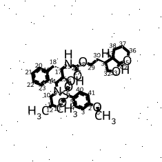 COc1ccc(S(=O)(=O)N(CC(C)C)C[C@@H](O)[C@H](Cc2ccccc2)NC(=O)OCC[C@@H]2CO[C@@H]3OCCC[C@H]23)cc1